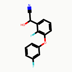 N#CC(O)c1cccc(Oc2cccc(F)c2)c1F